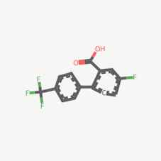 O=C(O)c1cc(F)ccc1-c1ccc(C(F)(F)F)cc1